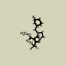 COC(=O)c1c(C(F)(F)F)nn2c1N(Cc1cccc(F)c1)CC2